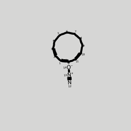 C1=CC=CCCCCCCC=C1.N#[N+][O-]